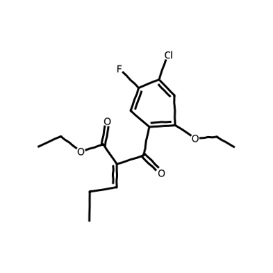 CCC=C(C(=O)OCC)C(=O)c1cc(F)c(Cl)cc1OCC